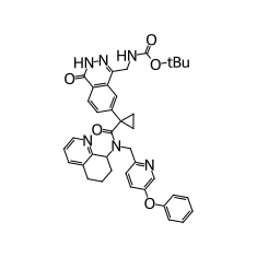 CC(C)(C)OC(=O)NCc1n[nH]c(=O)c2ccc(C3(C(=O)N(Cc4ccc(Oc5ccccc5)cn4)C4CCCc5cccnc54)CC3)cc12